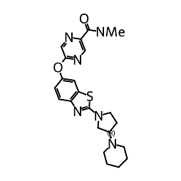 CNC(=O)c1cnc(Oc2ccc3nc(N4CC[C@@H](N5CCCCC5)C4)sc3c2)cn1